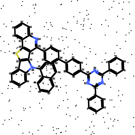 c1ccc(-c2nc(-c3ccccc3)nc(-c3ccc(-c4ccc(-c5nc6ccccc6c6sc7c8ccccc8n(-c8cccc9ccccc89)c7c56)cc4)cc3)n2)cc1